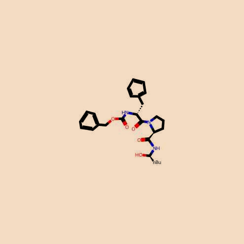 CCCC[C@@H](O)NC(=O)[C@@H]1CCCN1C(=O)[C@@H](Cc1ccccc1)NC(=O)OCc1ccccc1